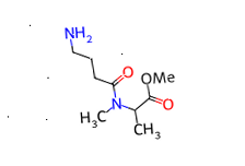 COC(=O)C(C)N(C)C(=O)CCCN